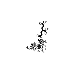 C[N+](C)(C)C.C[N+](C)(C)C.C[N+](C)(C)C.O=C([O-])CCC(CCC(=O)[O-])C(=O)[O-]